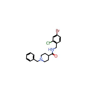 O=C(NCc1ccc(Br)cc1Cl)C1CCN(Cc2ccccc2)CC1